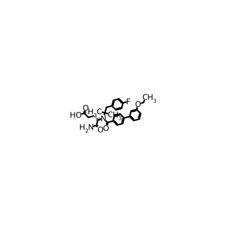 CCOc1cccc(-c2ccc(C(=O)N([C@@H](CCC(=O)O)C(N)=O)C(C)(C)Cc3ccc(F)cc3)cc2)c1